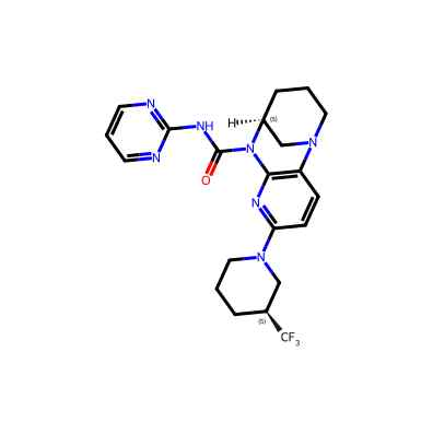 O=C(Nc1ncccn1)N1c2nc(N3CCC[C@H](C(F)(F)F)C3)ccc2N2CCC[C@H]1C2